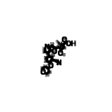 COc1cc(C(=O)O)n(C)c1-c1cc2nccc(-c3ccc(OC4CCOCC4)c(C#N)c3)c2o1